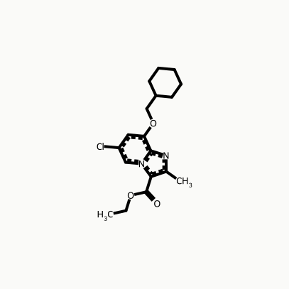 CCOC(=O)c1c(C)nc2c(OCC3CCCCC3)cc(Cl)cn12